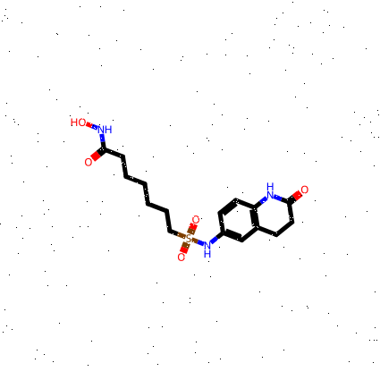 O=C(CCCCCCS(=O)(=O)Nc1ccc2c(c1)CCC(=O)N2)NO